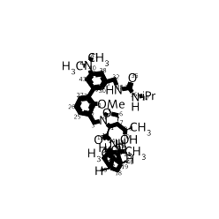 COc1c(CN2OC[C@H]([C@H](C)O)[C@H]2C(=O)N[C@H]2C[C@H]3C[C@@H]([C@@H]2C)C3(C)C)cccc1-c1cc(CNC(=O)NC(C)C)cc(N(C)C)c1